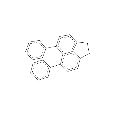 c1ccc(-c2ccc3c4c(ccc(-c5ccccc5)c24)CC3)cc1